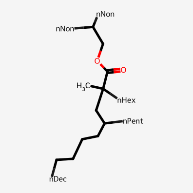 CCCCCCCCCCCCCCC(CCCCC)CC(C)(CCCCCC)C(=O)OCC(CCCCCCCCC)CCCCCCCCC